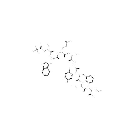 CC[C@H](C)[C@H](NC(=O)[C@H](CCC(N)=O)NC(=O)[C@H](Cc1c[nH]c2ccccc12)NC(=O)[C@H](CC(=O)O)NC(=O)C(C)(C)N)C(=O)N[C@@H](Cc1ccc(O)cc1)C(=O)N[C@@H](Cc1ccccc1)C(=O)N[C@@H](CC(C)C)C(=O)N[C@@H](CCC(=O)O)C(N)=O